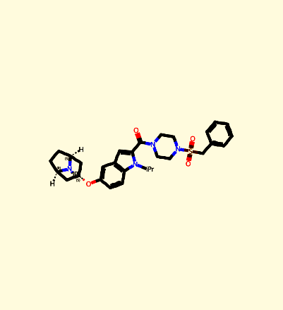 CC(C)N1[C@@H]2CC[C@H]1C[C@H](Oc1ccc3c(c1)cc(C(=O)N1CCN(S(=O)(=O)Cc4ccccc4)CC1)n3C(C)C)C2